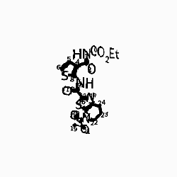 CCOC(=O)NC(=O)c1ccsc1NC(=O)c1nc2c(s1)N(S(C)(=O)=O)CCC2